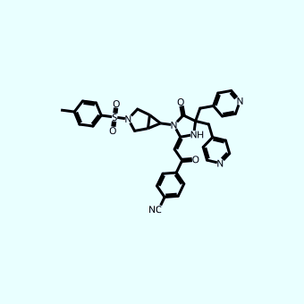 Cc1ccc(S(=O)(=O)N2CC3C(C2)C3N2C(=O)C(Cc3ccncc3)(Cc3ccncc3)NC2=CC(=O)c2ccc(C#N)cc2)cc1